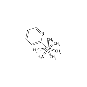 [CH2]=[Co](=[CH2])(=[CH2])(=[CH2])(=[CH2])(=[CH2])[c]1ccccn1